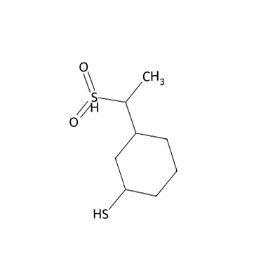 CC(C1CCCC(S)C1)[SH](=O)=O